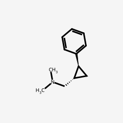 CN(C)C[C@H]1C[C@@H]1c1ccccc1